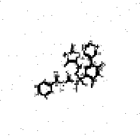 Cc1nc(C)c(C(O)CC(C)(NC(=S)NC(=O)c2ccccc2)c2cc(-c3cncnc3)c(F)cc2F)o1